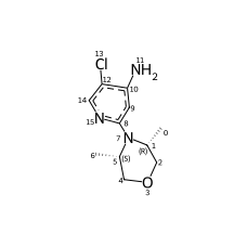 C[C@@H]1COC[C@H](C)N1c1cc(N)c(Cl)cn1